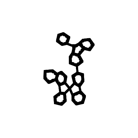 c1ccc(-n2c3ccccc3c3cc(-c4ccc5c(c4)C4(c6ccccc6-5)c5ccccc5-c5c4ccc4ccccc54)ccc32)cc1